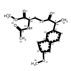 COC(=O)[C@@H](CSC(=O)[C@@H](C)c1ccc2cc(OC)ccc2c1)NC(C)=O